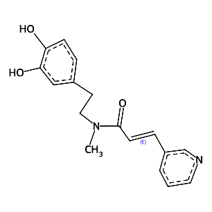 CN(CCc1ccc(O)c(O)c1)C(=O)/C=C/c1cccnc1